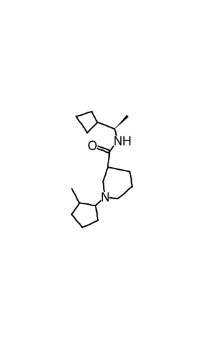 CC1CCCC1N1CCCC(C(=O)N[C@H](C)C2CCC2)C1